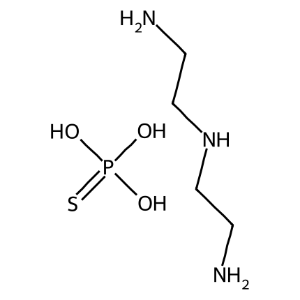 NCCNCCN.OP(O)(O)=S